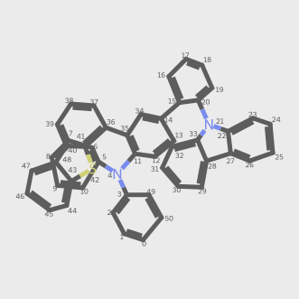 c1ccc(N(c2ccccc2)c2ccc(-c3ccccc3-n3c4ccccc4c4ccccc43)cc2-c2cccc3c2sc2ccccc23)cc1